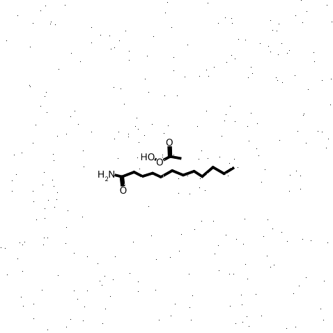 CC(=O)OO.CCCCCCCCCCCC(N)=O